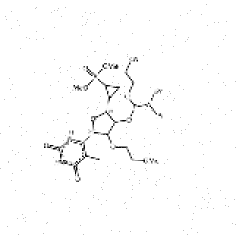 COCCOC1C(OP(OCCC#N)N(C(C)C)C(C)C)[C@@H](C2CC2P(=O)(OC)OC)O[C@H]1c1[nH]c(=O)[nH]c(=O)c1C